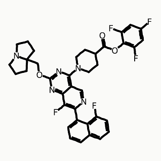 O=C(Oc1c(F)cc(F)cc1F)C1CCN(c2nc(OCC34CCCN3CCC4)nc3c(F)c(-c4cccc5cccc(F)c45)ncc23)CC1